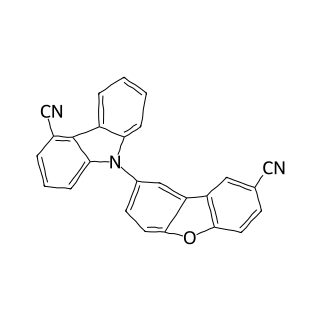 N#Cc1ccc2oc3ccc(-n4c5ccccc5c5c(C#N)cccc54)cc3c2c1